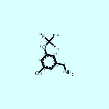 NCc1[c]c(Cl)cc(OC(F)(F)F)c1